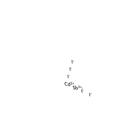 [Cd+2].[I-].[I-].[I-].[I-].[I-].[Sb+3]